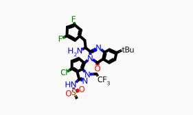 CC(C)(C)c1ccc2c(=O)n(-c3ccc(Cl)c4c(NS(C)(=O)=O)nn(CC(F)(F)F)c34)c(C(N)Cc3cc(F)cc(F)c3)nc2c1